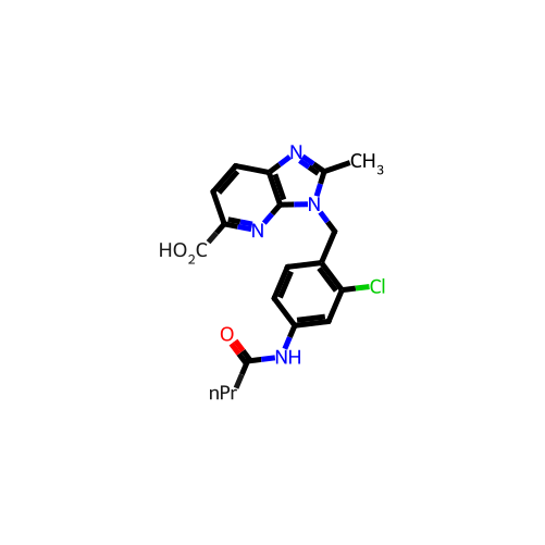 CCCC(=O)Nc1ccc(Cn2c(C)nc3ccc(C(=O)O)nc32)c(Cl)c1